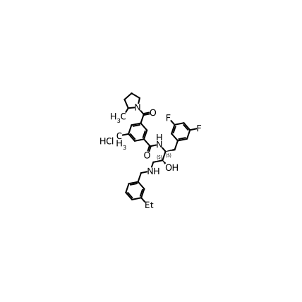 CCc1cccc(CNC[C@H](O)[C@H](Cc2cc(F)cc(F)c2)NC(=O)c2cc(C)cc(C(=O)N3CCCC3C)c2)c1.Cl